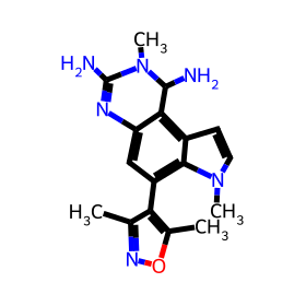 Cc1noc(C)c1-c1cc2c(c3ccn(C)c13)C(N)N(C)C(N)=N2